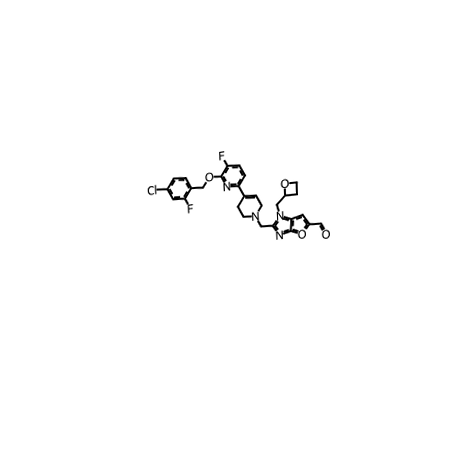 O=Cc1cc2c(nc(CN3CC=C(c4ccc(F)c(OCc5ccc(Cl)cc5F)n4)CC3)n2CC2CCO2)o1